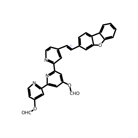 O=COc1ccnc(-c2cc(OC=O)cc(-c3cc(/C=C/c4ccc5c(c4)oc4ccccc45)ccn3)n2)c1